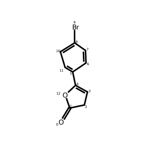 O=C1CC=C(c2ccc(Br)cc2)O1